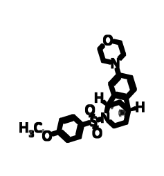 COc1ccc(S(=O)(=O)N2CC[C@@H]3C[C@H]2c2cc(N4CCOCC4)ccc23)cc1